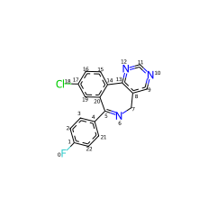 Fc1ccc(C2=NCc3cncnc3-c3ccc(Cl)cc32)cc1